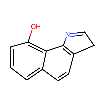 Oc1cccc2ccc3c(c12)N=CC3